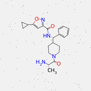 C[C@H](N)C(=O)N1CCC([C@H](NC(=O)c2cc(C3CC3)on2)c2ccccc2)CC1